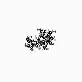 CC[C@H](C)[C@H](NC(=O)[C@@H](NC(=O)[C@@H]1C[C@@H](O)CN1C(=O)[C@@H](N)C(C)C)[C@@H](C)CC)C(=O)N[C@@H](Cc1ccc(O)cc1)C(=O)N[C@H](C(=O)N[C@@H](CC(N)=O)C(=O)N[C@@H](CCCNC(=N)N)C(=O)N[C@@H](CCN)C(=O)N[C@H](C(=O)N[C@H](CCN)C(=O)N[C@@H](CCCCN)C(=O)N[C@@H](CS)C(=O)N[C@@H](CCN)C(=O)N[C@@H](CO)C(=O)N[C@@H](Cc1ccc(O)cc1)C(=O)O)[C@@H](C)O)C(C)(C)S